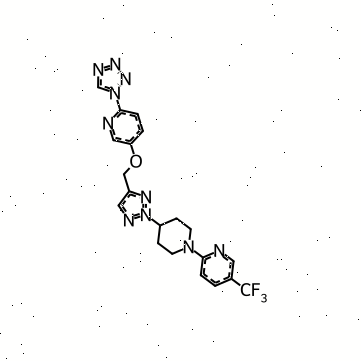 FC(F)(F)c1ccc(N2CCC(n3ncc(COc4ccc(-n5cnnn5)nc4)n3)CC2)nc1